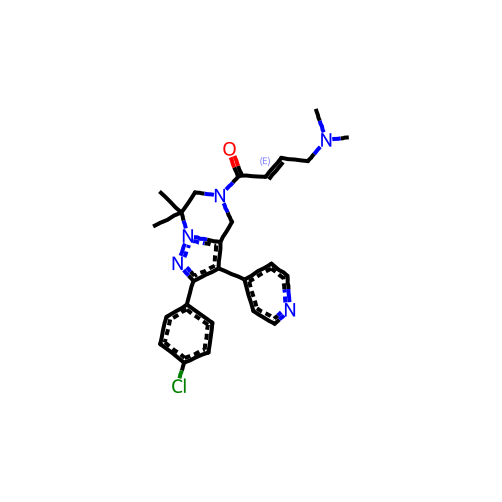 CN(C)C/C=C/C(=O)N1Cc2c(-c3ccncc3)c(-c3ccc(Cl)cc3)nn2C(C)(C)C1